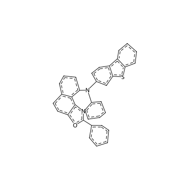 c1ccc(-c2nc3c(ccc4cccc(N(c5ccccc5)c5ccc6c(c5)sc5ccccc56)c43)o2)cc1